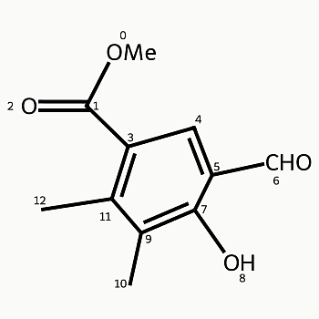 COC(=O)c1cc(C=O)c(O)c(C)c1C